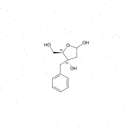 OC[C@H]1OC(O)C[C@@]1(O)Cc1ccccc1